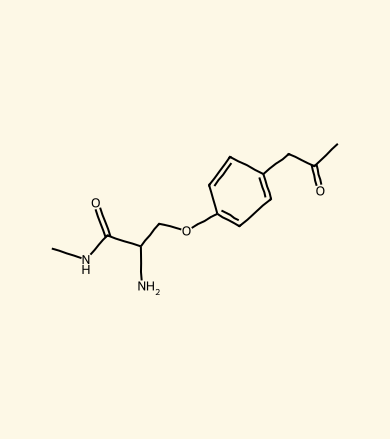 CNC(=O)C(N)COc1ccc(CC(C)=O)cc1